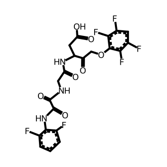 O=C(O)CC(NC(=O)CNC(=O)C(=O)Nc1c(F)cccc1F)C(=O)COc1c(F)c(F)cc(F)c1F